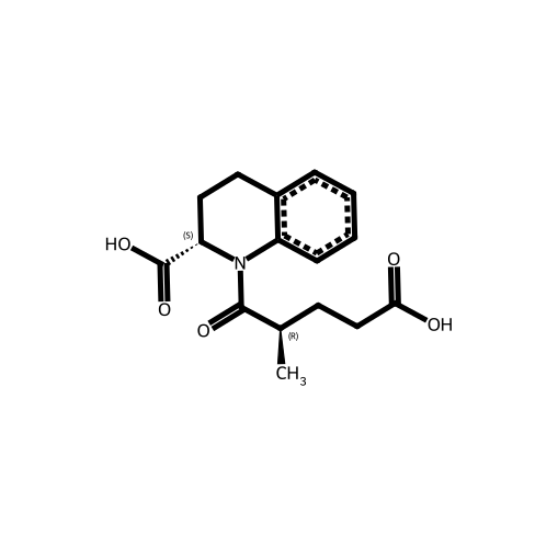 C[C@H](CCC(=O)O)C(=O)N1c2ccccc2CC[C@H]1C(=O)O